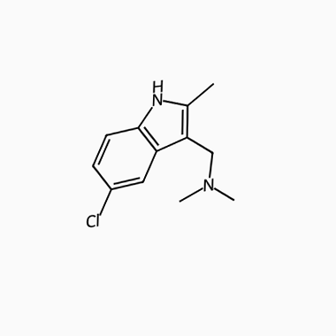 Cc1[nH]c2ccc(Cl)cc2c1CN(C)C